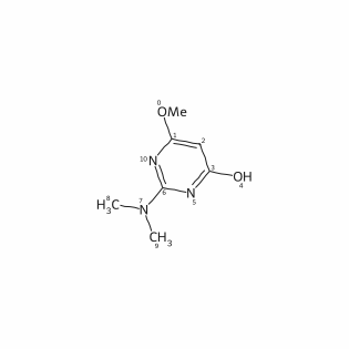 COc1cc(O)nc(N(C)C)n1